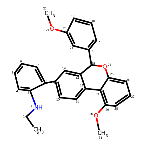 CCNc1ccccc1-c1ccc2c(c1)C(c1cccc(OC)c1)Oc1cccc(OC)c1-2